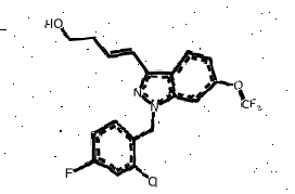 OCCC=Cc1nn(Cc2ccc(F)cc2Cl)c2cc(OC(F)(F)F)ccc12